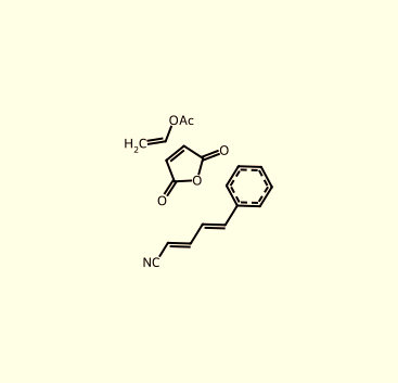 C=COC(C)=O.N#CC=CC=Cc1ccccc1.O=C1C=CC(=O)O1